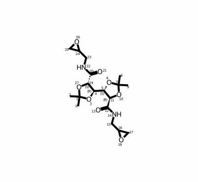 CC1(C)O[C@H]([C@@H]2OC(C)(C)O[C@H]2C(=O)NCC2CO2)[C@@H](C(=O)NCC2CO2)O1